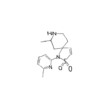 Cc1cccc(N2C3(C=CS2(=O)=O)CCNC(C)C3)n1